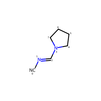 N#CN=CN1CCCC1